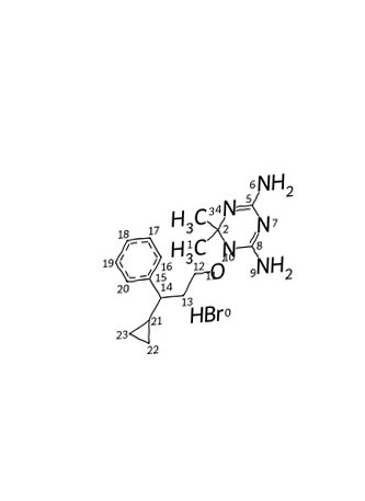 Br.CC1(C)N=C(N)N=C(N)N1OCCC(c1ccccc1)C1CC1